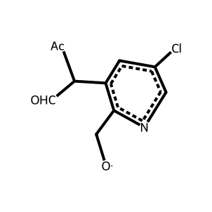 CC(=O)C(C=O)c1cc(Cl)cnc1C[O]